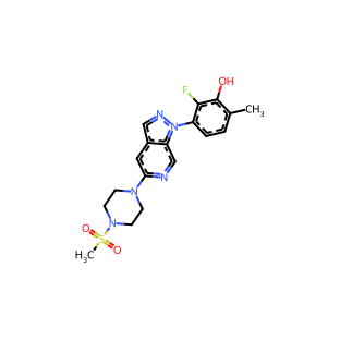 Cc1ccc(-n2ncc3cc(N4CCN(S(C)(=O)=O)CC4)ncc32)c(F)c1O